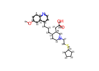 COc1ccc2nccc(CCC[C@@H]3CCN(CCSC4CCCC4)C[C@@H]3CC(=O)O)c2c1